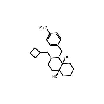 COc1ccc(C[C@@H]2N(CC3CCC3)CC[C@@]3(O)CCCCC23O)cc1